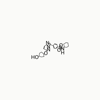 O=S(=O)(NC1CCCCC1)c1ccc(-c2cnc3ccc(OC4CCC(O)CC4)nn23)cc1